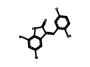 O=C1Nc2c(Br)cc(Br)cc2C1=Cc1cc(Cl)ccc1O